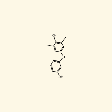 Cc1cc(Oc2cccc(O)c2)cc(I)c1O